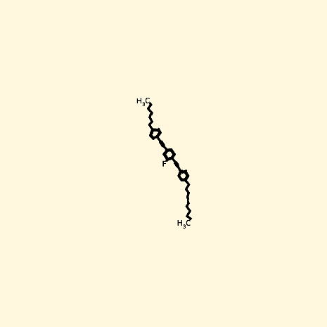 CCCCCCCCCCc1ccc(C#Cc2ccc(C#Cc3ccc(CCCCCCC)cc3)cc2F)cc1